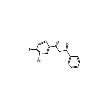 O=C(CC(=O)c1ccc(F)c(Br)c1)c1ccccc1